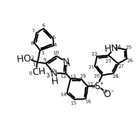 CC(O)(c1ccccc1)c1cnc(-c2cccc([S+]([O-])c3ccc4[nH]ccc4c3)c2)[nH]1